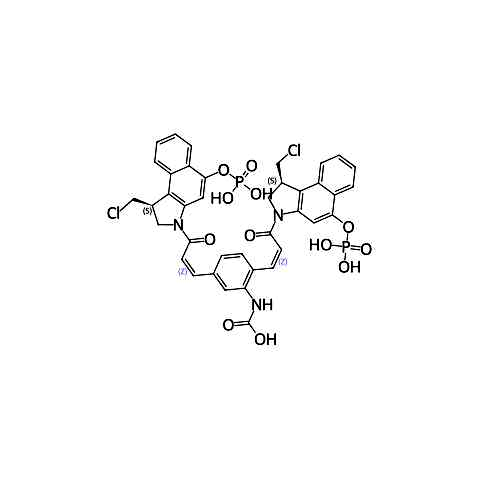 O=C(O)Nc1cc(/C=C\C(=O)N2C[C@@H](CCl)c3c2cc(OP(=O)(O)O)c2ccccc32)ccc1/C=C\C(=O)N1C[C@@H](CCl)c2c1cc(OP(=O)(O)O)c1ccccc21